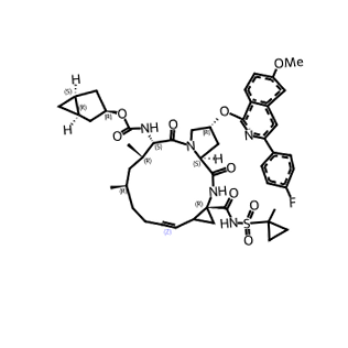 COc1ccc2c(O[C@@H]3C[C@H]4C(=O)N[C@]5(C(=O)NS(=O)(=O)C6(C)CC6)CC5/C=C\CC[C@@H](C)C[C@@H](C)[C@H](NC(=O)O[C@@H]5C[C@@H]6C[C@@H]6C5)C(=O)N4C3)nc(-c3ccc(F)cc3)cc2c1